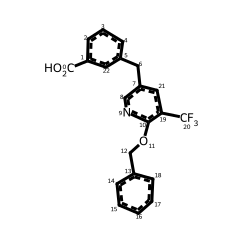 O=C(O)c1cccc(Cc2cnc(OCc3ccccc3)c(C(F)(F)F)c2)c1